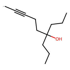 [CH2]C#CCCC(O)(CCC)CCC